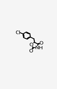 O=C1NC(=O)C(Cc2ccc(Cl)cc2)O1